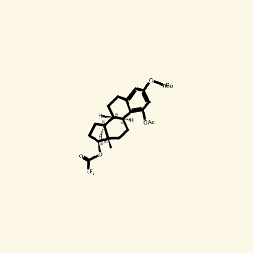 CCCCOc1cc2c(c(OC(C)=O)c1)[C@H]1CC[C@]3(C)[C@@H](OC(=O)C(F)(F)F)CC[C@H]3[C@@H]1CC2